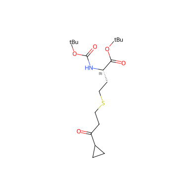 CC(C)(C)OC(=O)N[C@@H](CCSCCC(=O)C1CC1)C(=O)OC(C)(C)C